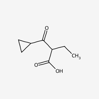 CCC(C(=O)O)C(=O)C1CC1